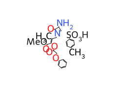 COC(=O)C(OC(=O)COc1ccccc1)=C(C)CN1C[C@H](N)C1=O.Cc1ccc(S(=O)(=O)O)cc1